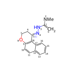 C=C(NC)N/N=C1\CCOc2ccc3ccccc3c21